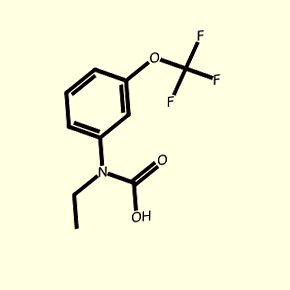 CCN(C(=O)O)c1cccc(OC(F)(F)F)c1